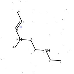 C/C=C/N(C)CCNCC